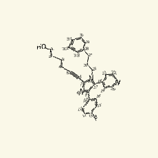 OCCCCC#Cc1nc(-c2ccc(F)cc2)c(-c2ccncc2)n1CCCc1ccccc1